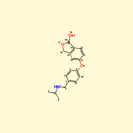 CC(C)NCc1ccc(Oc2ccc3c(c2)COB3O)cc1